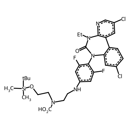 CCN1C(=O)N(c2c(F)cc(NCCN(CCO[Si](C)(C)C(C)(C)C)C(=O)O)cc2F)c2cc(Cl)ccc2-c2cc(Cl)cnc21